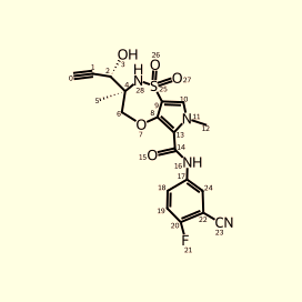 C#C[C@H](O)[C@]1(C)COc2c(cn(C)c2C(=O)Nc2ccc(F)c(C#N)c2)S(=O)(=O)N1